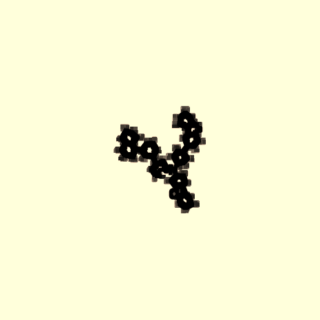 c1cc(-c2cccc(N(c3ccc(-c4ccc5sc6ccccc6c5c4)cc3)c3ccc4c(c3)oc3ccccc34)c2)cc(-c2cccc3ccccc23)c1